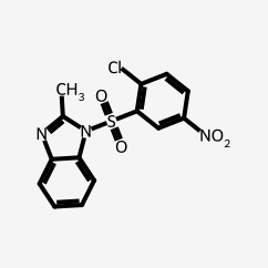 Cc1nc2ccccc2n1S(=O)(=O)c1cc([N+](=O)[O-])ccc1Cl